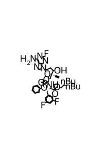 C#C[C@]1(CO[P@@](=O)(N[C@@H](Cc2cc(F)cc(F)c2)C(=O)OCC(CCCC)CCCC)Oc2ccccc2)O[C@@H](n2cnc3c(N)nc(F)nc32)C[C@@H]1O